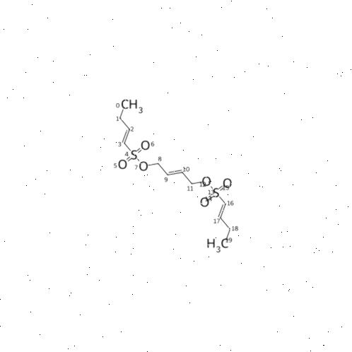 CC/C=C/S(=O)(=O)OC/C=C/COS(=O)(=O)/C=C/CC